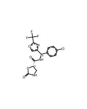 O=C1NC[C@@H](C(=O)N[C@H](c2ccc(Cl)cc2)c2coc(C(F)(F)F)n2)O1